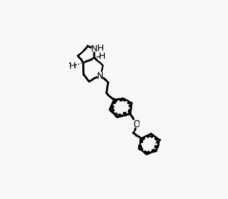 c1ccc(COc2ccc(CCN3CC[C@H]4CCN[C@H]4C3)cc2)cc1